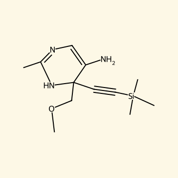 COCC1(C#C[Si](C)(C)C)NC(C)=NC=C1N